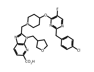 O=C(O)c1ccc2nc(CN3CCC(Oc4nc(Cc5ccc(Cl)cc5)ncc4F)CC3)n(CC3CCOC3)c2n1